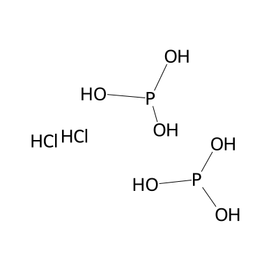 Cl.Cl.OP(O)O.OP(O)O